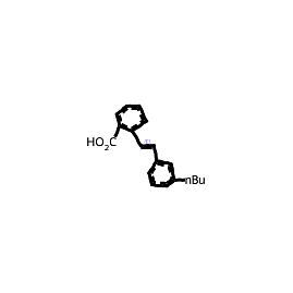 CCCCc1cccc(/C=C/c2ccccc2C(=O)O)c1